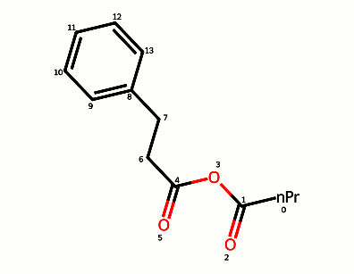 [CH2]CCC(=O)OC(=O)CCc1ccccc1